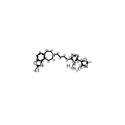 CCc1nc2c3c(ccc2o1)CCN(CCCSc1nnc(-c2ocnc2C)n1C)CC3